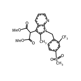 COC(=O)C(C(=O)OC)c1c(C)n(Cc2ccc(S(C)(=O)=O)cc2C(F)(F)F)c2ncccc12